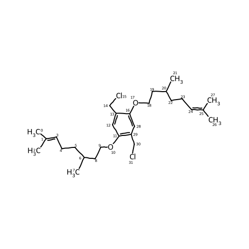 CC(C)=CCCC(C)CCOc1cc(CCl)c(OCCC(C)CCC=C(C)C)cc1CCl